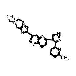 CCN1CCn2cc(-c3cnc4ccc(-c5c[nH]nc5-c5cccc(C)n5)nc4c3)nc2C1